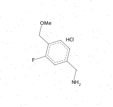 COCc1ccc(CN)cc1F.Cl